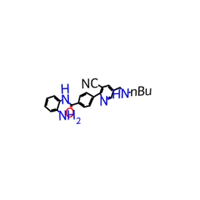 CCCCNCc1cnc(-c2ccc(C(=O)Nc3ccccc3N)cc2)c(C#N)c1